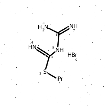 Br.CC(C)SC(=N)NC(=N)N